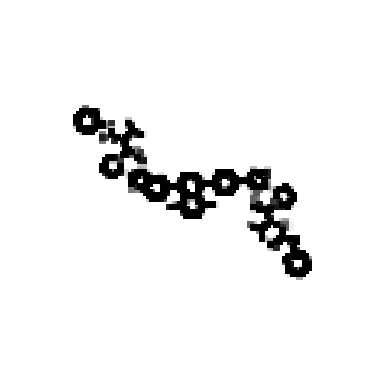 Cc1ccc(C)c2c(-c3ccc4nc([C@@H]5CCCN5C(=O)[C@@H](NOc5ccccc5)C(C)C)[nH]c4c3)ccc(-c3ccc(-c4cnc([C@@H]5CCCN5C(=O)[C@@H](NC(=O)Oc5ccccc5)C(C)C)[nH]4)cc3)c12